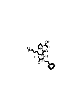 O=NCCCC[C@H](N[C@@H](CCc1ccccc1)C(=O)O)C(=O)N1CCC[C@H]1C(=O)O